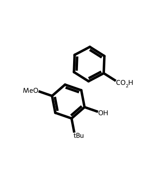 COc1ccc(O)c(C(C)(C)C)c1.O=C(O)c1ccccc1